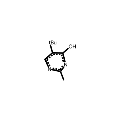 Cc1ncc(C(C)(C)C)c(O)n1